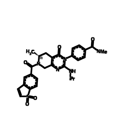 CNC(=O)c1ccc(-n2c(NC(C)C)nc3c(c2=O)C[C@@H](C)N(C(=O)c2ccc4c(c2)C=CS4(=O)=O)C3)cc1